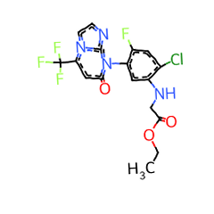 CCOC(=O)CNc1cc(-n2c(=O)cc(C(F)(F)F)n3ccnc23)c(F)cc1Cl